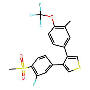 Cc1cc(-c2cscc2-c2ccc(S(C)(=O)=O)c(F)c2)ccc1OC(F)(F)F